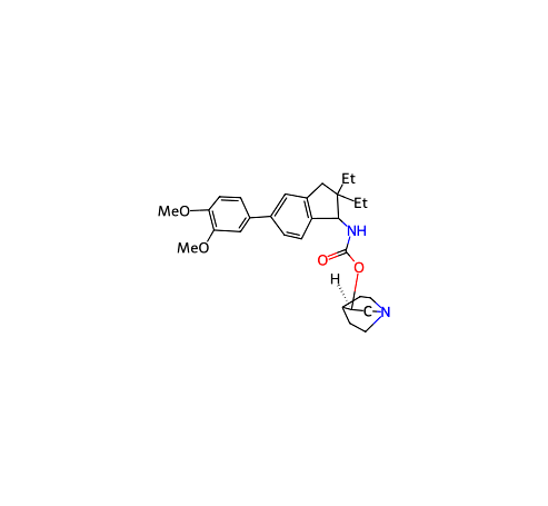 CCC1(CC)Cc2cc(-c3ccc(OC)c(OC)c3)ccc2C1NC(=O)O[C@H]1CN2CCC1CC2